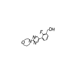 OCc1cccc(-c2cnc(N3CCCOCC3)nc2)c1F